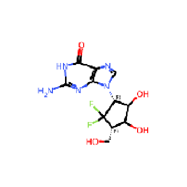 Nc1nc2c(ncn2[C@@H]2C(O)C(O)[C@H](CO)C2(F)F)c(=O)[nH]1